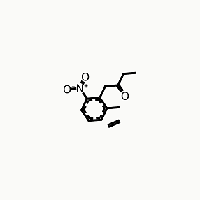 C=C.CCC(=O)Cc1c(C)cccc1[N+](=O)[O-]